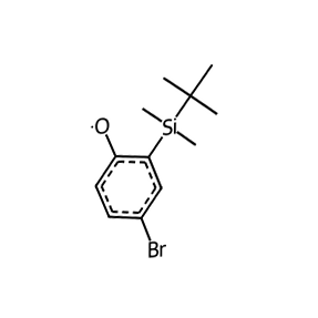 CC(C)(C)[Si](C)(C)c1cc(Br)ccc1[O]